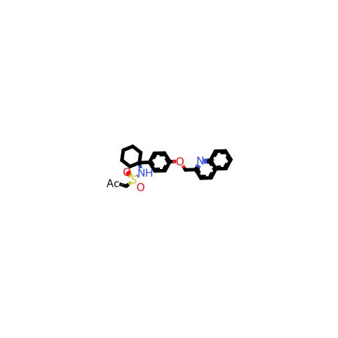 CC(=O)CS(=O)(=O)NC1(c2ccc(OCc3ccc4ccccc4n3)cc2)CCCCC1